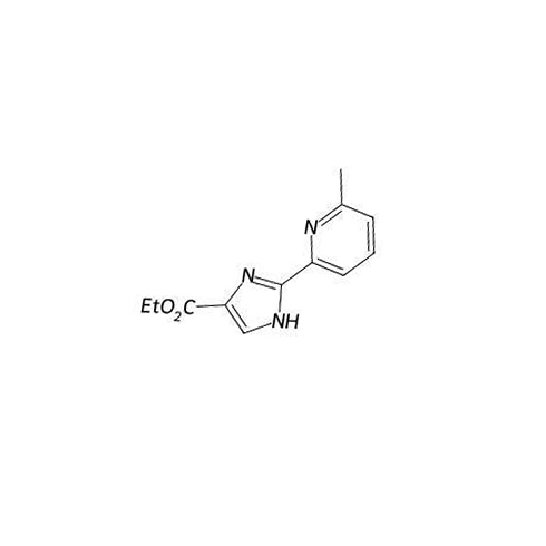 CCOC(=O)c1c[nH]c(-c2cccc(C)n2)n1